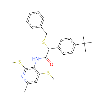 CSc1cc(C)nc(SC)c1NC(=O)C(SCc1ccccc1)c1ccc(C(C)(C)C)cc1